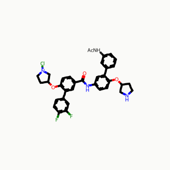 CC(=O)Nc1cccc(-c2cc(NC(=O)c3ccc(OC4CCN(Cl)C4)c(-c4ccc(F)c(F)c4)c3)ccc2OC2CCNC2)c1